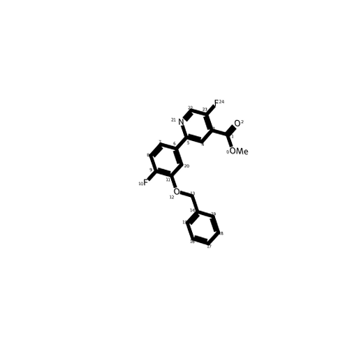 COC(=O)c1cc(-c2ccc(F)c(OCc3ccccc3)c2)ncc1F